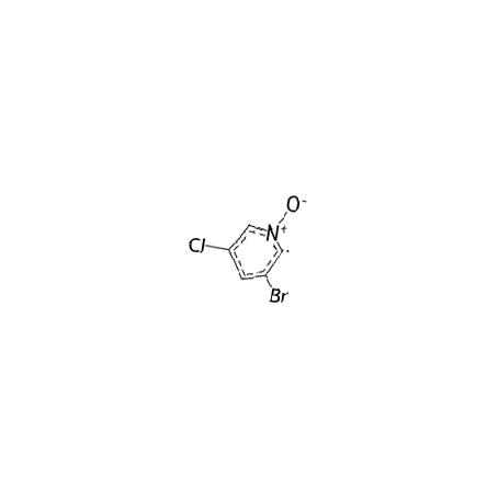 [O-][n+]1[c]c(Br)cc(Cl)c1